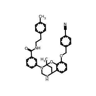 Cc1ccc(CCNC(=O)c2cccc(N3CNC4CC3(C)Oc3c(OCc5ccc(C#N)cc5)cccc34)c2)cc1